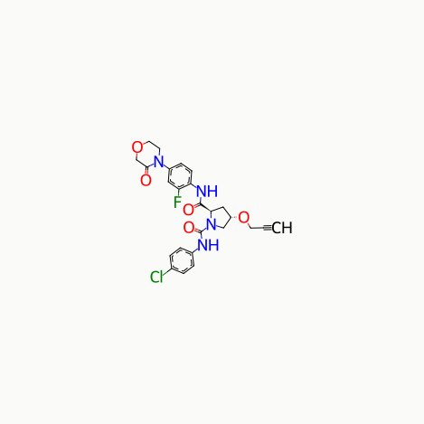 C#CCO[C@H]1C[C@H](C(=O)Nc2ccc(N3CCOCC3=O)cc2F)N(C(=O)Nc2ccc(Cl)cc2)C1